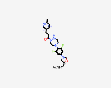 C=C/C=C\C(=C/N)CCC(=O)N1CCN(c2c(F)cc(N3CO[C@@H](CNC(C)=O)C3)cc2F)CCN1